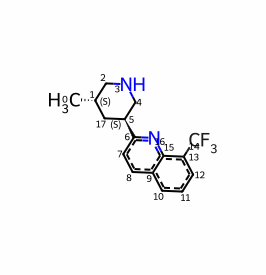 C[C@@H]1CNC[C@@H](c2ccc3cccc(C(F)(F)F)c3n2)C1